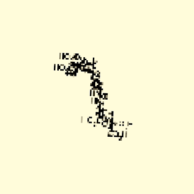 C[C@@H](CNC(=O)Cc1ccc(CNC(=O)NCCCC[C@H](NC(=O)N[C@@H](CCC(=O)O)C(=O)O)C(=O)O)cc1)C(=O)N[C@@H](CC(=O)O)C(=O)N[C@@H](CS)C(=O)O